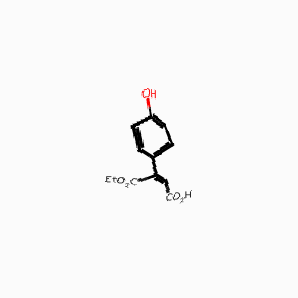 CCOC(=O)C(=CC(=O)O)c1ccc(O)cc1